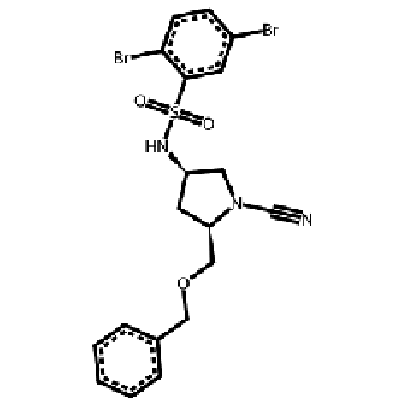 N#CN1C[C@H](NS(=O)(=O)c2cc(Br)ccc2Br)C[C@@H]1COCc1ccccc1